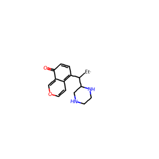 C[CH]C(c1ccc(=O)c2coccc1-2)C1CNCCN1